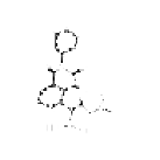 CCN(C)c1c(CN(C)C)cc2c3c(cccc13)C(=O)N(c1ccccc1)C2=O